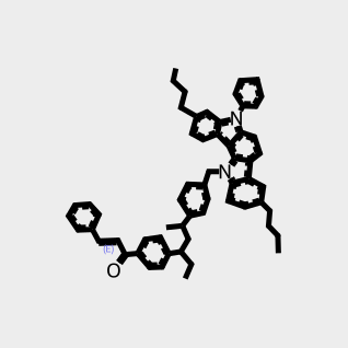 CCCCc1ccc2c(c1)c1ccc3c(c4ccc(CCCC)cc4n3-c3ccccc3)c1n2Cc1ccc(C(C)CC(CC)c2ccc(C(=O)/C=C/c3ccccc3)cc2)cc1